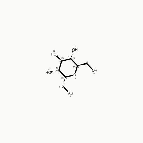 OC[C@H]1O[C@H]([S][Au])[C@H](O)[C@@H](O)[C@@H]1O